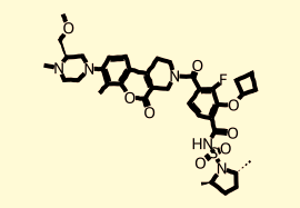 COC[C@H]1CN(c2ccc3c4c(c(=O)oc3c2C)CN(C(=O)c2ccc(C(=O)NS(=O)(=O)N3[C@H](C)CC[C@H]3C)c(OC3CCC3)c2F)CC4)CCN1C